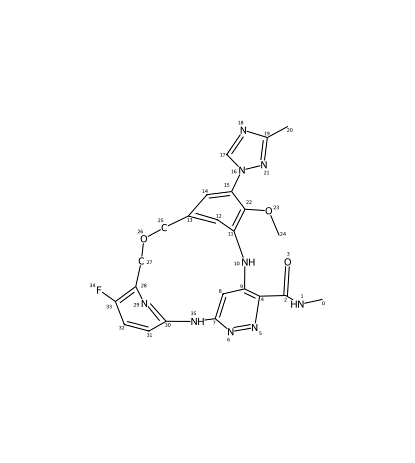 CNC(=O)c1nnc2cc1Nc1cc(cc(-n3cnc(C)n3)c1OC)COCc1nc(ccc1F)N2